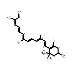 CC(C=O)=CC=CC=C(C)C=CC=C(C)C=CC1=C(C)CC(O)CC1(C)C